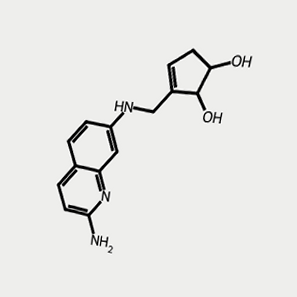 Nc1ccc2ccc(NCC3=CCC(O)C3O)cc2n1